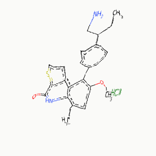 CCC(CN)c1ccc(-c2c(OC)cc(C)c3[nH]c(=O)c4sccc4c23)cc1.Cl